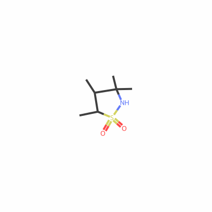 CC1C(C)S(=O)(=O)NC1(C)C